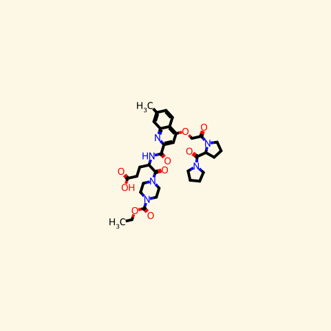 CCOC(=O)N1CCN(C(=O)C(CCC(=O)O)NC(=O)c2cc(OCC(=O)N3CCCC3C(=O)N3CCCC3)c3ccc(C)cc3n2)CC1